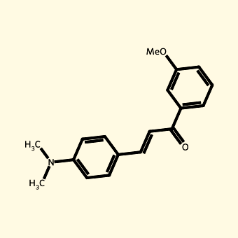 COc1cccc(C(=O)C=Cc2ccc(N(C)C)cc2)c1